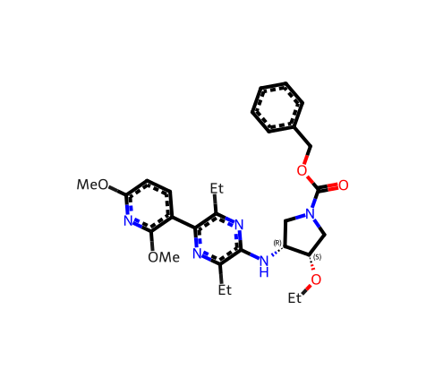 CCO[C@H]1CN(C(=O)OCc2ccccc2)C[C@H]1Nc1nc(CC)c(-c2ccc(OC)nc2OC)nc1CC